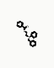 O=C(OCCN(Cc1ccccc1)c1ccccc1)c1ccccc1